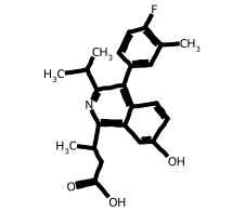 Cc1cc(-c2c(C(C)C)nc(C(C)CC(=O)O)c3cc(O)ccc23)ccc1F